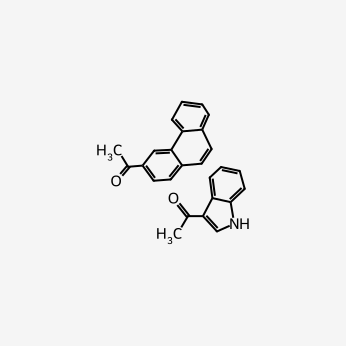 CC(=O)c1c[nH]c2ccccc12.CC(=O)c1ccc2ccc3ccccc3c2c1